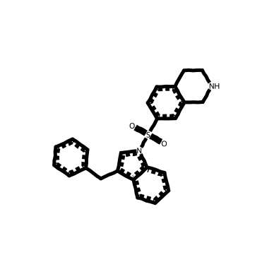 O=S(=O)(c1ccc2c(c1)CNCC2)n1cc(Cc2ccccc2)c2ccccc21